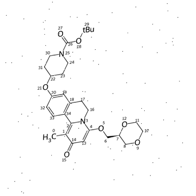 Cc1c2n(c(OC[C@@H]3COCCO3)cc1=O)CCc1cc(OC3CCN(C(=O)OC(C)(C)C)CC3)ccc1-2